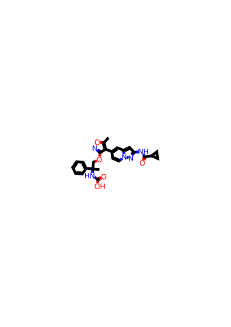 Cc1onc(OCC(C)(NC(=O)O)c2ccccc2)c1-c1ccn2nc(NC(=O)C3CC3)cc2c1